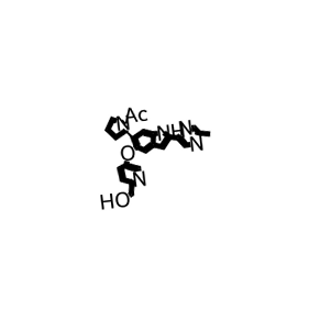 CC(=O)N1CCC[C@@H]1c1cc2[nH]c(-c3cnc(C)cn3)cc2cc1Oc1ccc(CO)nc1